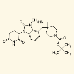 Cn1c(=O)n(C2CCC(=O)NC2=O)c2cccc(C3NCC34CCN(C(=O)OC(C)(C)C)CC4)c21